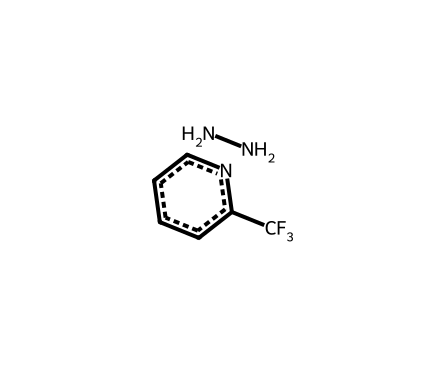 FC(F)(F)c1ccccn1.NN